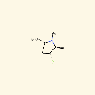 CC(=O)N1C(C(=O)O)C[C@@H](F)[C@@H]1C